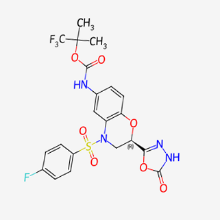 CC(C)(OC(=O)Nc1ccc2c(c1)N(S(=O)(=O)c1ccc(F)cc1)C[C@H](c1n[nH]c(=O)o1)O2)C(F)(F)F